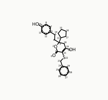 O=C1OC(CCc2ccc(O)cc2)(C2CCCC2)CC(O)=C1SCc1ccccc1